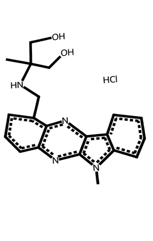 Cl.Cn1c2ccccc2c2nc3c(CNC(C)(CO)CO)cccc3nc21